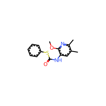 COc1nc(C)c(C)cc1NC(=O)Sc1ccccc1